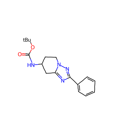 CC(C)(C)OC(=O)NC1CCn2nc(-c3ccccc3)nc2C1